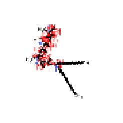 CCCCCCCCCCCCC/C=C/[C@@H](O)[C@H](CO[C@@H]1OC(CO)[C@@H](O[C@@H]2OC(CO)[C@H](O)[C@H](O[C@@H]3OC(CO)[C@@H](O[C@@H]4OC(CO)[C@H](O)[C@H](O[C@H]5OC(CO)[C@@H](O[C@@H]6OC(CO)[C@H](O)[C@H](O[C@]7(C(=O)O)CC(O)[C@@H](NC(C)=O)C([C@H](O)[C@H](O)CO)O7)C6O)[C@H](O)C5NC(C)=O)C4O)[C@H](O)C3NC(C)=O)C2O)[C@H](O)C1O)NC(=O)CCCCCCCCCCCCCCCCCCC